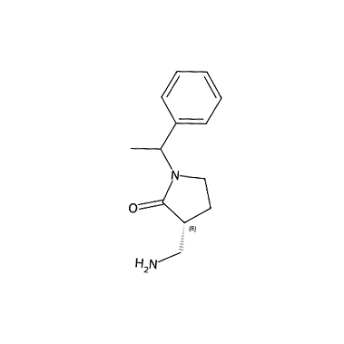 CC(c1ccccc1)N1CC[C@H](CN)C1=O